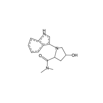 CN(C)C(=O)C1CC(O)CN1c1c[nH]c2ccccc12